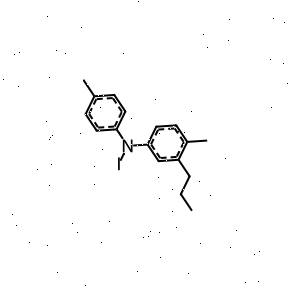 CCCc1cc(N(I)c2ccc(C)cc2)ccc1C